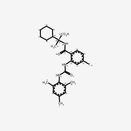 Cc1cc(C)c(NC(=O)Nc2cc(F)ccc2C(=O)N[C@@](C)(C(=O)O)C2CCCCC2)c(C)c1